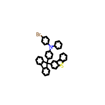 Brc1ccc(N(c2ccccc2)c2ccc(C3(c4ccc5sc6ccccc6c5c4)c4ccccc4-c4ccccc43)cc2)cc1